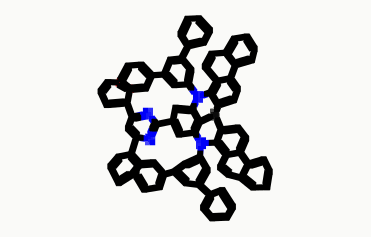 c1ccc(-c2cc(-c3ccccc3)cc(N3c4cc(-c5nc(-c6ccccc6)cc(-c6ccccc6)n5)cc5c4B(c4ccc6c(ccc7ccccc76)c43)c3ccc4c(ccc6ccccc64)c3N5c3cc(-c4ccccc4)cc(-c4ccccc4)c3)c2)cc1